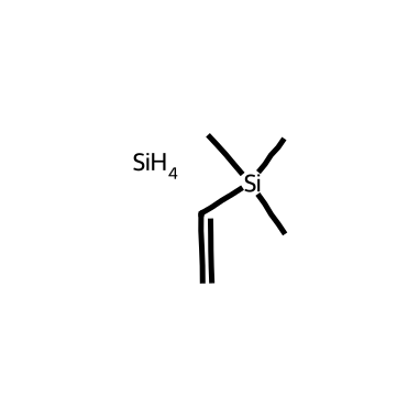 C=C[Si](C)(C)C.[SiH4]